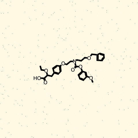 CCOC(Cc1ccc(OCCN(CCCOCc2ccccc2)C(=O)Oc2cccc(OC)c2)cc1)C(=O)O